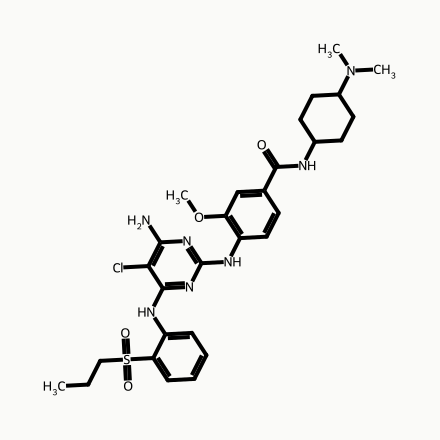 CCCS(=O)(=O)c1ccccc1Nc1nc(Nc2ccc(C(=O)NC3CCC(N(C)C)CC3)cc2OC)nc(N)c1Cl